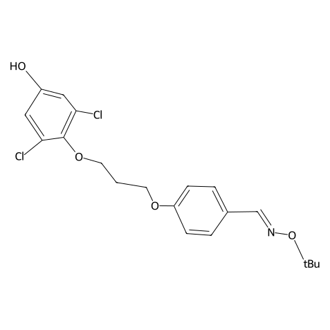 CC(C)(C)O/N=C/c1ccc(OCCCOc2c(Cl)cc(O)cc2Cl)cc1